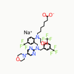 O=C([O-])CCCCCCN(CCO)c1ccc(C(F)(F)F)cc1CN(Cc1cc(C(F)(F)F)cc(C(F)(F)F)c1)c1ncc(N2CCOCC2)cn1.[Na+]